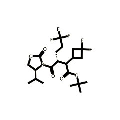 CC(C)[C@H]1COC(=O)N1C(=O)[C@H](CCC(F)(F)F)C(C(=O)OC(C)(C)C)C1CC(F)(F)C1